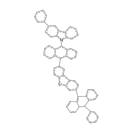 C1=CC2=C(c3ccc4c(c3)sc3ccc(-c5c6ccccc6c(-n6c7ccccc7c7cc(-c8ccccc8)ccc76)c6ccccc56)cc34)c3ccccc3C(c3ccccc3)C2C=C1